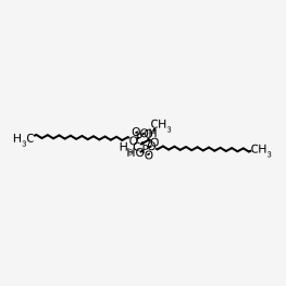 CCCCCCCCCCCCCCCCCCOP(=O)(O)C(C)(C(=O)OCC)P(=O)(O)OCCCCCCCCCCCCCCCCCC